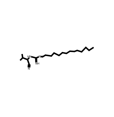 CCCCCCCCCCCCCCNC(=N)NC(C#N)C(C)C